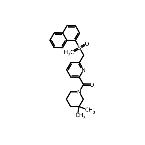 C=S(=O)(Cc1cccc(C(=O)N2CCCC(C)(C)C2)n1)c1cccc2ccccc12